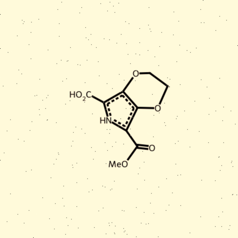 COC(=O)c1[nH]c(C(=O)O)c2c1OCCO2